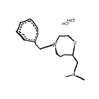 CN(C)CC1CN(Cc2ccccc2)CCO1.Cl.Cl